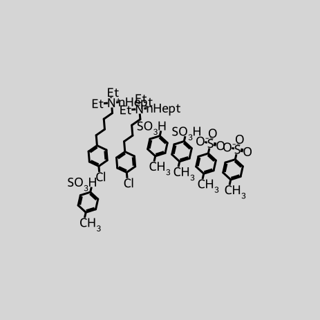 CCCCCCC[N+](CC)(CC)CCCCc1ccc(Cl)cc1.CCCCCCC[N+](CC)(CC)CCCCc1ccc(Cl)cc1.Cc1ccc(S(=O)(=O)O)cc1.Cc1ccc(S(=O)(=O)O)cc1.Cc1ccc(S(=O)(=O)O)cc1.Cc1ccc(S(=O)(=O)[O-])cc1.Cc1ccc(S(=O)(=O)[O-])cc1